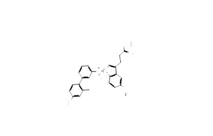 COc1ccc2c(c1)c(CCC(=O)O)cn2S(=O)(=O)c1cccc(-c2ccc(F)cc2C)c1